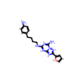 Nc1ccc(CCCCNc2nc(N)n3nc(-c4ccco4)nc3n2)cc1